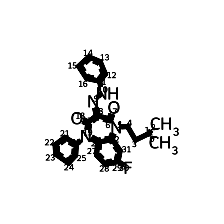 CC(C)CCn1c(=O)c(=NNc2ccccc2)c(=O)n(-c2ccccc2)c2ccc(F)cc21